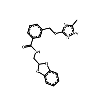 Cc1nc(SCc2cccc(C(=O)NCC3Oc4ccccc4O3)c2)n[nH]1